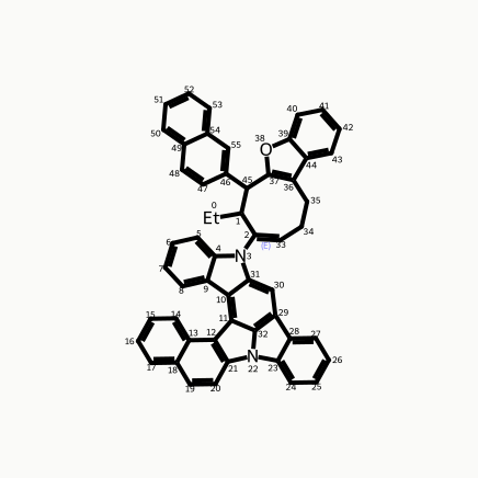 CCC1/C(n2c3ccccc3c3c4c5c6ccccc6ccc5n5c6ccccc6c(cc32)c45)=C\CCc2c(oc3ccccc23)C1c1ccc2ccccc2c1